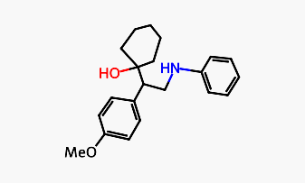 COc1ccc(C(CNc2ccccc2)C2(O)CCCCC2)cc1